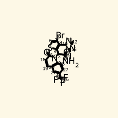 NC(=O)C(c1scc(Br)c1-c1ncn[nH]1)n1c(=O)ccc2cc(C(F)(F)F)ccc21